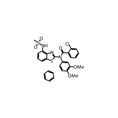 COc1ccc(N(C(=O)c2ccccc2Cl)c2nc3c(NS(C)(=O)=O)cccc3s2)cc1OC.c1ccccc1